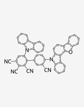 N#Cc1cc(-c2c(-n3c4ccccc4c4ccccc43)cc(C#N)c(C#N)c2C#N)ccc1-n1c2ccccc2c2c3oc4ccccc4c3ccc21